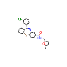 Cc1ccc(CNC(=O)c2ccc3c(c2)N=C(c2cccc(Cl)c2)c2ccccc2S3)o1